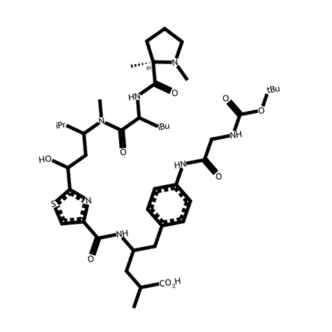 CCC(C)C(NC(=O)[C@@]1(C)CCCN1C)C(=O)N(C)C(CC(O)c1nc(C(=O)NC(Cc2ccc(NC(=O)CNC(=O)OC(C)(C)C)cc2)CC(C)C(=O)O)cs1)C(C)C